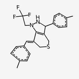 Cc1ccc(C=C2CSCC3=C2N(CC(F)(F)F)NC3c2ccc(C)cc2)cc1